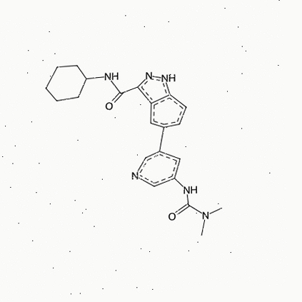 CN(C)C(=O)Nc1cncc(-c2ccc3[nH]nc(C(=O)NC4CCCCC4)c3c2)c1